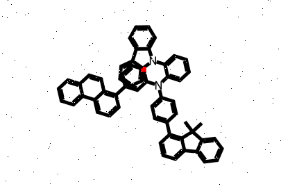 CC1(C)c2ccccc2-c2cccc(-c3ccc(N(c4cccc(-c5cccc6c5ccc5ccccc56)c4)c4ccccc4-n4c5ccccc5c5ccccc54)cc3)c21